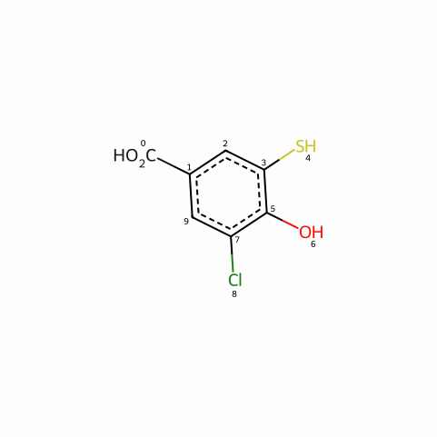 O=C(O)c1cc(S)c(O)c(Cl)c1